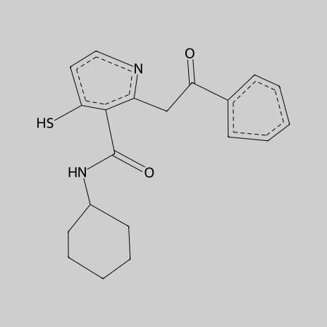 O=C(Cc1nccc(S)c1C(=O)NC1CCCCC1)c1ccccc1